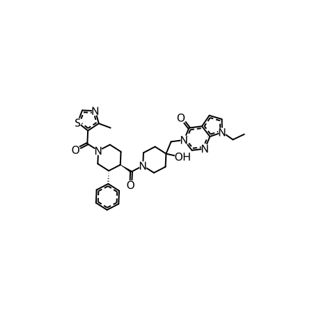 CCn1ccc2c(=O)n(CC3(O)CCN(C(=O)[C@@H]4CCN(C(=O)c5scnc5C)C[C@H]4c4ccccc4)CC3)cnc21